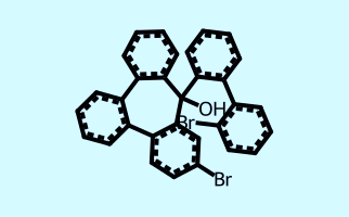 OC1(c2ccccc2-c2ccccc2Br)c2ccccc2-c2ccccc2-c2ccc(Br)cc21